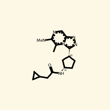 CNc1ncc2nnc([C@@H]3CC[C@H](NC(=O)CC4CC4)C3)n2c1C